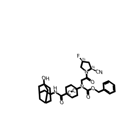 N#C[C@@H]1C[C@H](F)CN1C(=O)CN(C(=O)OCc1ccccc1)C12CCC(C(=O)NC34CC5CC(CC(O)(C5)C3)C4)(CC1)CC2